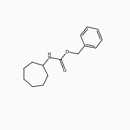 O=C(NC1CCCCCC1)OCc1ccccc1